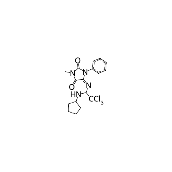 CN1C(=O)C(=NC(NC2CCCC2)C(Cl)(Cl)Cl)N(c2ccccc2)C1=O